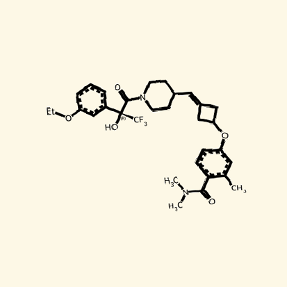 CCOc1cccc([C@@](O)(C(=O)N2CCC(C=C3CC(Oc4ccc(C(=O)N(C)C)c(C)c4)C3)CC2)C(F)(F)F)c1